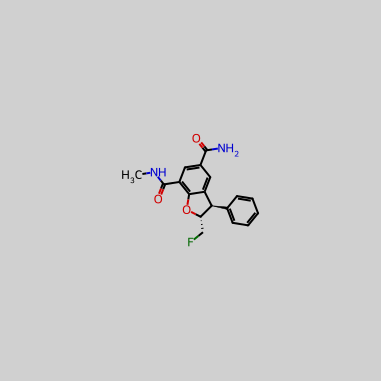 CNC(=O)c1cc(C(N)=O)cc2c1O[C@@H](CF)[C@@H]2c1ccccc1